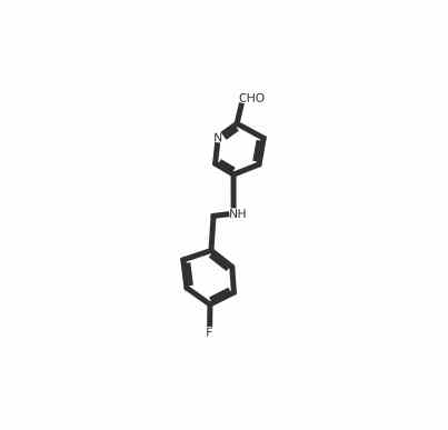 O=Cc1ccc(NCc2ccc(F)cc2)cn1